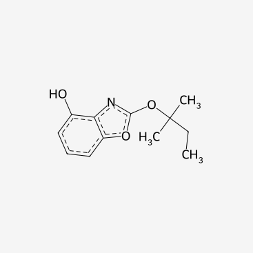 CCC(C)(C)Oc1nc2c(O)cccc2o1